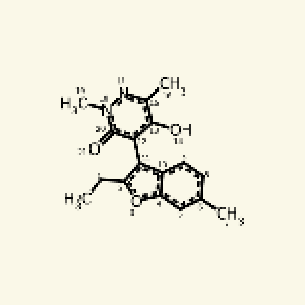 CCc1oc2cc(C)ccc2c1-c1c(O)c(C)nn(C)c1=O